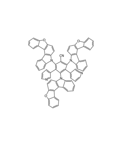 N#Cc1c(-n2c3ccccc3c3c4c(ccc32)oc2ccccc24)c(-c2cccnc2)c(-n2c3ccccc3c3c4c(ccc32)oc2ccccc24)c(-c2cccnc2)c1-n1c2ccccc2c2c3c(ccc21)oc1ccccc13